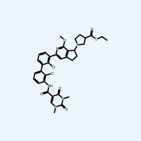 CCOC(=O)C1CCN(C2CCc3cc(-c4cccc(-c5cccc(NC(=O)c6cn(C)c(=O)n(C)c6=O)c5Cl)c4Cl)nc(OC)c32)C1